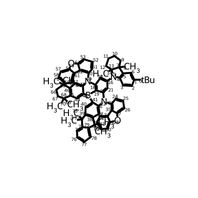 CC(C)(C)c1ccc2c(c1)C1(C)CCCCC1(C)N2c1cc2c3c(c1)N(c1cccc4oc5ccccc5c14)c1cc4c(cc1B3c1cc3c(cc1N2c1cccc2oc5ccccc5c12)C(C)(C)CCC3(C)C)C(C)(C)c1ccccc1C4(C)C